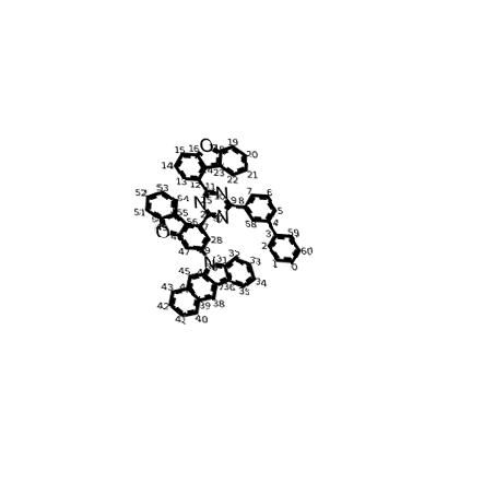 c1ccc(-c2cccc(-c3nc(-c4cccc5oc6ccccc6c45)nc(-c4cc(-n5c6ccccc6c6cc7ccccc7cc65)cc5oc6ccccc6c45)n3)c2)cc1